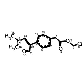 CCOC(=O)Cc1ccc(C(C=O)=CN(C)C)cc1